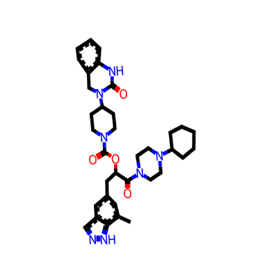 Cc1cc(CC(OC(=O)N2CCC(N3Cc4ccccc4NC3=O)CC2)C(=O)N2CCN(C3CCCCC3)CC2)cc2cn[nH]c12